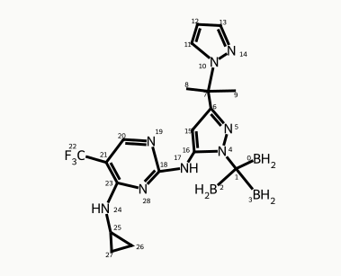 BC(B)(B)n1nc(C(C)(C)n2cccn2)cc1Nc1ncc(C(F)(F)F)c(NC2CC2)n1